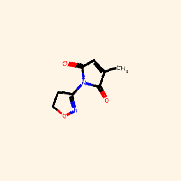 CC1=CC(=O)N(C2=NOCC2)C1=O